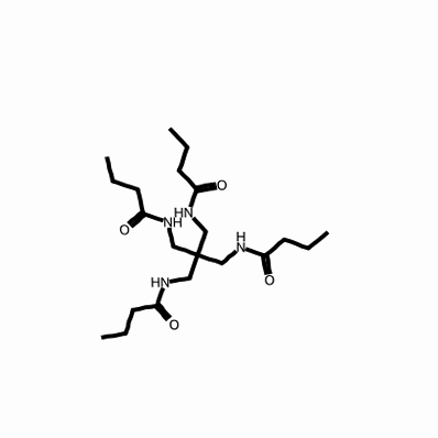 CCCC(=O)NCC(CNC(=O)CCC)(CNC(=O)CCC)CNC(=O)CCC